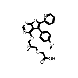 COc1ccc(-c2c(-c3ccccn3)oc3ncnc(OC[C@H](C)COCC(=O)O)c23)cc1